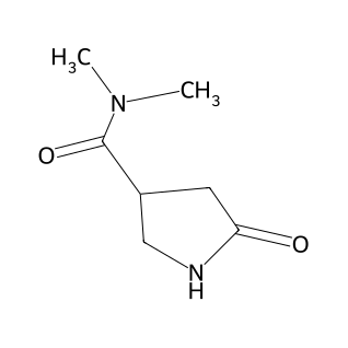 CN(C)C(=O)C1CNC(=O)C1